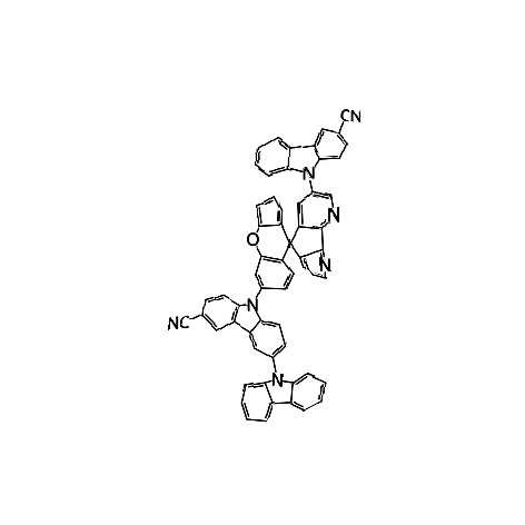 N#Cc1ccc2c(c1)c1ccccc1n2-c1cnc2c(c1)C1(c3ccccc3Oc3cc(-n4c5ccc(C#N)cc5c5cc(-n6c7ccccc7c7ccccc76)ccc54)ccc31)c1cccnc1-2